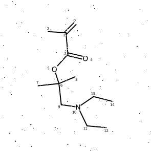 C=C(C)C(=O)OC(C)(C)CN(CC)CC